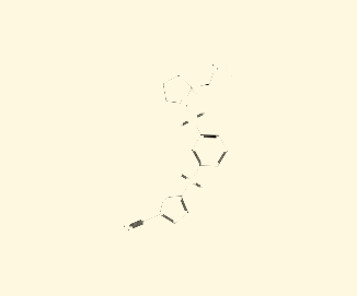 N#Cc1ccc(S(=O)(=O)c2cccc(S(=O)(=O)N3CCC[C@H]3CN)c2)s1